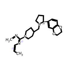 C=N/C(=N\C=C/C)N1CCC(CN2CCC[C@H]2c2ccc3c(c2)OCCO3)CC1